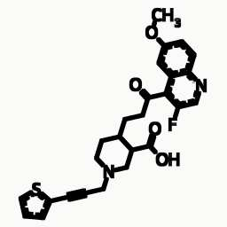 COc1ccc2ncc(F)c(C(=O)CCC3CCN(CC#Cc4cccs4)CC3C(=O)O)c2c1